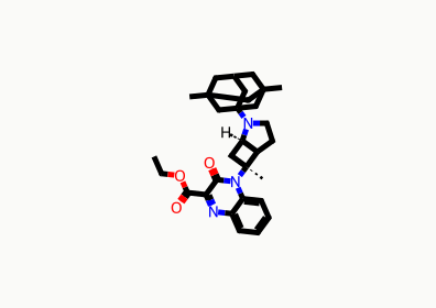 CCOC(=O)c1nc2ccccc2n([C@@]2(C)C[C@@H]3C2CCN3C23CC4CC(C)(CC(C)(C4)C2)C3)c1=O